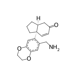 NCc1cc2c(cc1[C@@]13C=CC(=O)C[C@@H]1CCC3)OCCO2